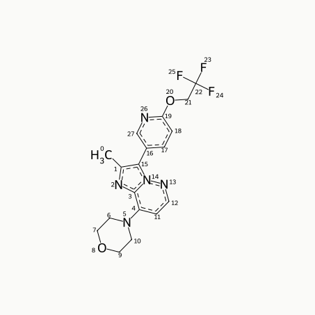 Cc1nc2c(N3CCOCC3)ccnn2c1-c1ccc(OCC(F)(F)F)nc1